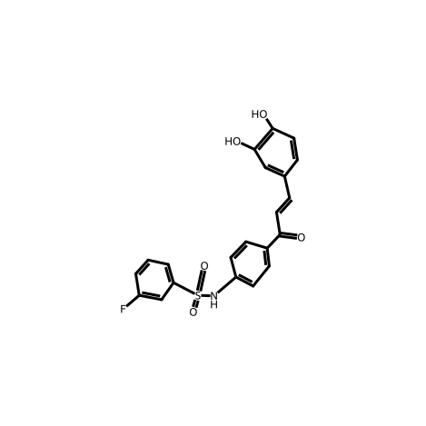 O=C(C=Cc1ccc(O)c(O)c1)c1ccc(NS(=O)(=O)c2cccc(F)c2)cc1